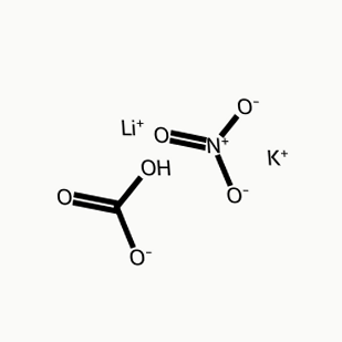 O=C([O-])O.O=[N+]([O-])[O-].[K+].[Li+]